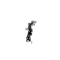 C=CC(C1CC1)S(=O)(=O)N1CCC(CC#N)(n2cc(-c3ccnc(Nc4ccc(C(=O)NCCO)cc4)n3)cn2)CC1